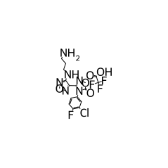 NCCCNc1nonc1-c1noc(=O)n1-c1ccc(F)c(Cl)c1.O=C(O)C(F)(F)F